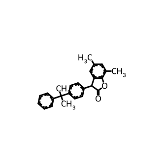 Cc1cc(C)c2c(c1)C(c1ccc(C(C)(C)c3ccccc3)cc1)C(=O)O2